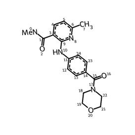 CNC(=O)c1ccc(C)nc1Nc1ccc(C(=O)N2CCOCC2)cc1